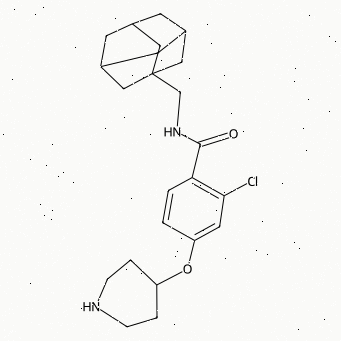 O=C(NCC12CC3CC(CC(C3)C1)C2)c1ccc(OC2CCNCC2)cc1Cl